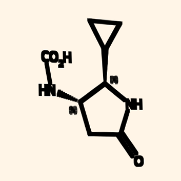 O=C(O)N[C@H]1CC(=O)N[C@@H]1C1CC1